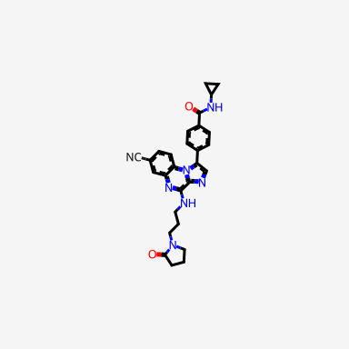 N#Cc1ccc2c(c1)nc(NCCCN1CCCC1=O)c1ncc(-c3ccc(C(=O)NC4CC4)cc3)n12